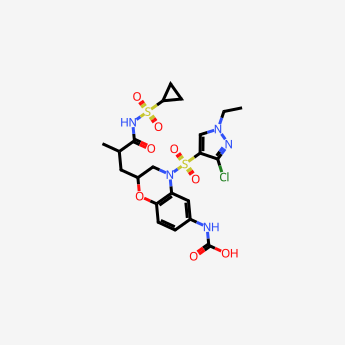 CCn1cc(S(=O)(=O)N2CC(CC(C)C(=O)NS(=O)(=O)C3CC3)Oc3ccc(NC(=O)O)cc32)c(Cl)n1